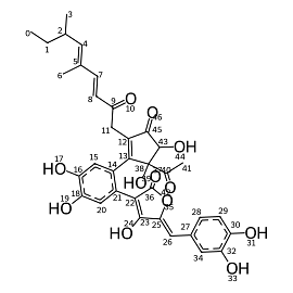 CCC(C)/C=C(C)/C=C/C(=O)CC1=C(c2cc(O)c(O)cc2C2=C(O)/C(=C/c3ccc(O)c(O)c3)OC2=O)C(O)(C(C)=O)C(O)C1=O